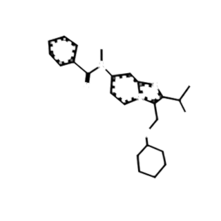 CC(C)c1nc2cc(N(C)C(=O)c3ccccc3)ccn2c1COC1CCCCC1